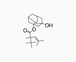 CC(C)=CC(C)(C(=O)OC12CC3CC(CC(O)(C3)C1)C2)C(C)(C)C